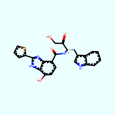 O=C(N[C@@H](Cc1c[nH]c2ccccc12)C(=O)CO)c1ccc(O)c2[nH]c(-c3cccs3)nc12